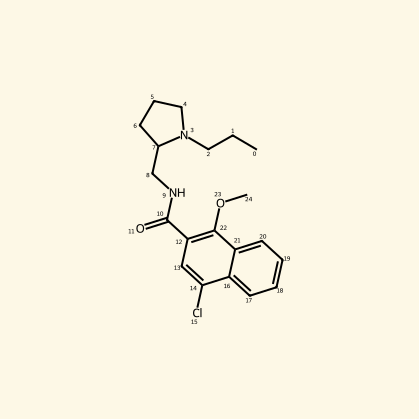 CCCN1CCCC1CNC(=O)c1cc(Cl)c2ccccc2c1OC